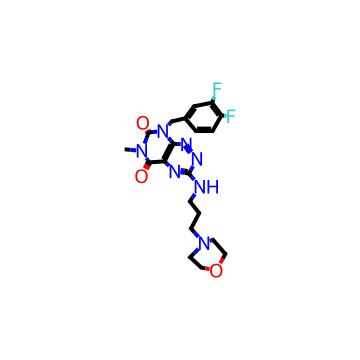 Cn1c(=O)c2nc(NCCCN3CCOCC3)nnc2n(Cc2ccc(F)c(F)c2)c1=O